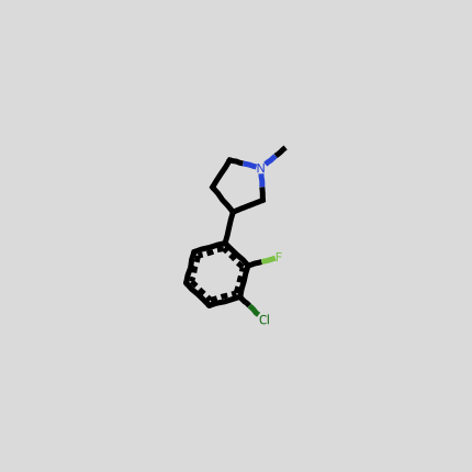 CN1CCC(c2cccc(Cl)c2F)C1